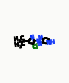 CC(C)c1cnc(-n2nc3c(n2)CNCC3)c(Cl)c1